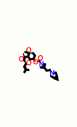 CO[C@H]1C([C@@]2(C)O[C@@H]2CC=C(C)C)[C@]2(CC[C@H]1OC(=O)N1CC(CCN3CC4CC4C3)C1)CO2